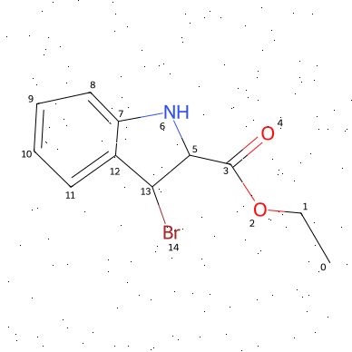 CCOC(=O)C1Nc2ccccc2C1Br